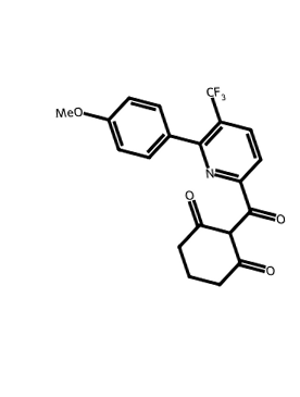 COc1ccc(-c2nc(C(=O)C3C(=O)CCCC3=O)ccc2C(F)(F)F)cc1